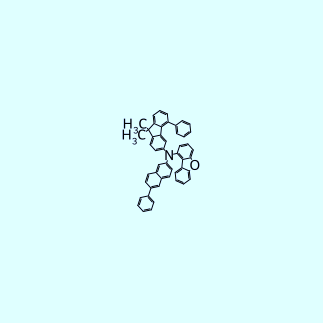 CC1(C)c2ccc(N(c3ccc4cc(-c5ccccc5)ccc4c3)c3cccc4oc5ccccc5c34)cc2-c2c(-c3ccccc3)cccc21